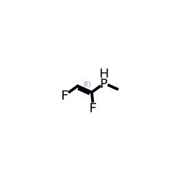 CP/C(F)=C/F